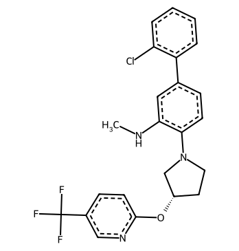 CNc1cc(-c2ccccc2Cl)ccc1N1CC[C@H](Oc2ccc(C(F)(F)F)cn2)C1